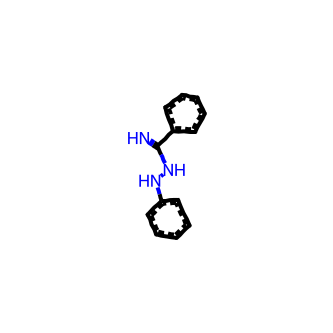 N=C(NNc1ccccc1)c1ccccc1